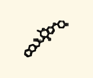 CC1CN(C[C@H](O)CN2CCc3ccccc3C2)C(=O)c2ccc(OC3CCNCC3)cc2O1